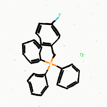 Fc1cccc(C[P+](c2ccccc2)(c2ccccc2)c2ccccc2)c1.[Cl-]